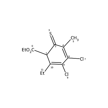 CCOC(=O)C1C(=S)C(C)=C(Cl)C(Cl)=C1CC